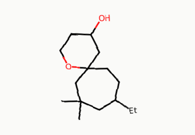 CCC1CCC2(CC(O)CCO2)CC(C)(C)C1